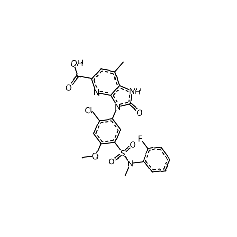 COc1cc(Cl)c(-n2c(=O)[nH]c3c(C)cc(C(=O)O)nc32)cc1S(=O)(=O)N(C)c1ccccc1F